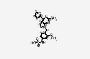 COc1cc(NS(=O)(=O)O)ccc1Cn1nnc2c(-c3ccco3)nc(N)nc21